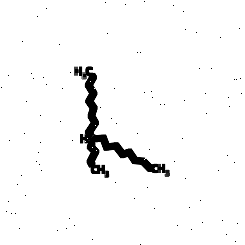 CCCCCCCCC[SiH](CCCC)CCCCCCCCC